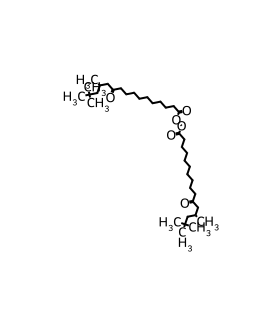 CC(CC(=O)CCCCCCCCCC(=O)OOC(=O)CCCCCCCCCC(=O)CC(C)CC(C)(C)C)CC(C)(C)C